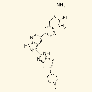 CCC(N)C(CCN)Cc1cncc(-c2cnc3[nH]nc(-c4nc5cc(N6CCN(C)CC6)ccc5[nH]4)c3c2)c1